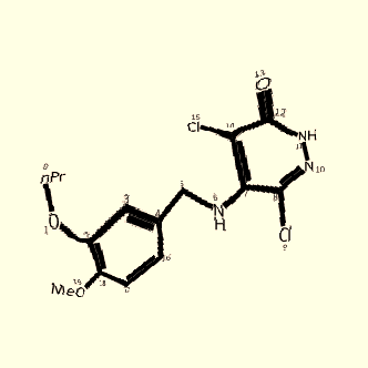 CCCOc1cc(CNc2c(Cl)n[nH]c(=O)c2Cl)ccc1OC